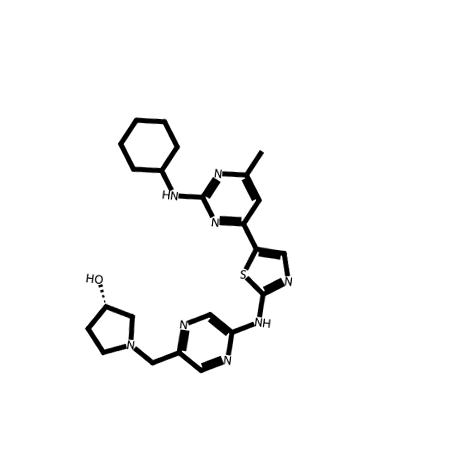 Cc1cc(-c2cnc(Nc3cnc(CN4CC[C@H](O)C4)cn3)s2)nc(NC2CCCCC2)n1